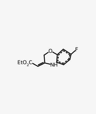 CCOC(=O)/C=C1\COc2cc(F)ccc2N1